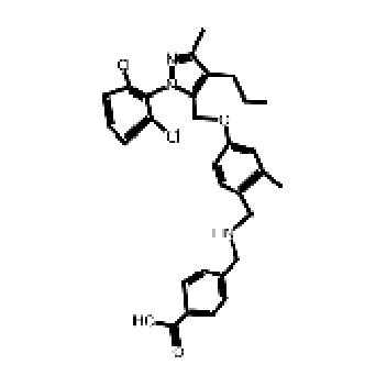 CCCc1c(C)nn(-c2c(Cl)cccc2Cl)c1COc1ccc(CNCc2ccc(C(=O)O)cc2)c(C)c1